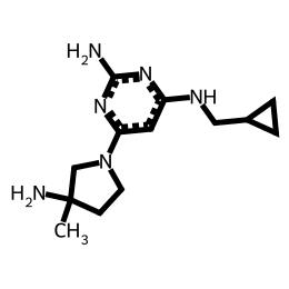 CC1(N)CCN(c2cc(NCC3CC3)nc(N)n2)C1